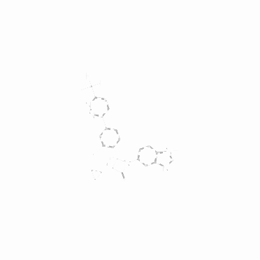 Cc1cc(-c2ccc(C(F)(F)I)nn2)ccc1[C@H]1[C@@H](C2CC2)C(=O)N1c1ccc2[nH]cnc2c1